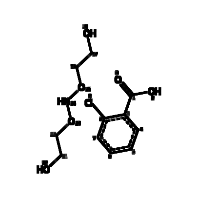 O=C(O)c1ccccc1Cl.OCCONOCCO